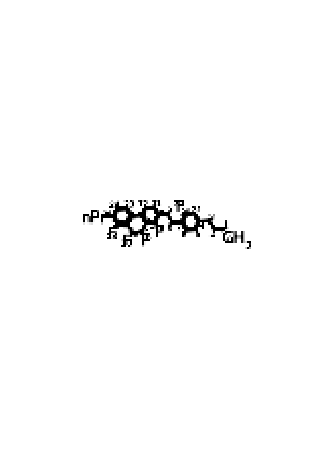 C=CCCc1ccc(CCc2ccc3c(c2F)C(F)C(F)c2c-3ccc(CCC)c2F)c(F)c1